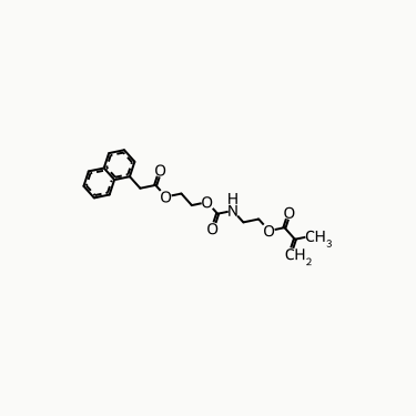 C=C(C)C(=O)OCCNC(=O)OCCOC(=O)Cc1cccc2ccccc12